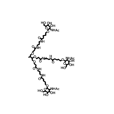 CC(=O)NC1C(OCCCCC(=O)NCCCNC(=O)CCOCC(C)C(COCCC(=O)NCCCNC(=O)CCCCOC2OC(CO)C(O)C(O)C2NC(C)=O)OCCC(=O)NCCCNC(=O)CCCCOC2OC(CO)C(O)C(O)C2NC(C)=O)OC(CO)C(O)C1O